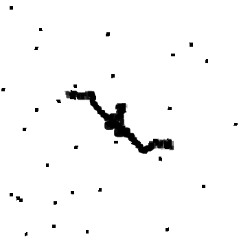 CCCCC/C=C\C/C=C\CCCCCCCCOC(=O)CCC(OC(=O)CCCN(C)C)C(=O)OCCCCCCCC/C=C\C/C=C\CCCCC